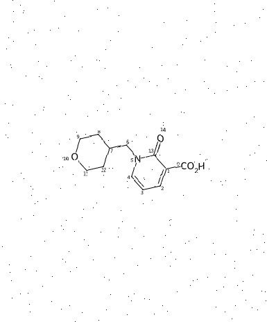 O=C(O)c1cccn(CC2CCOCC2)c1=O